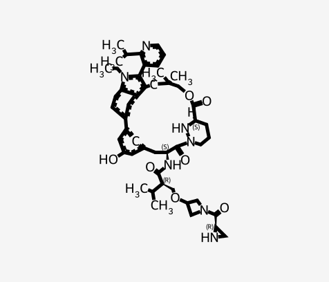 CCn1c(-c2cccnc2C(C)C)c2c3cc(ccc31)-c1cc(O)cc(c1)C[C@H](NC(=O)[C@@H](COC1CN(C(=O)[C@H]3CN3)C1)C(C)C)C(=O)N1CCC[C@H](N1)C(=O)OCC(C)(C)C2